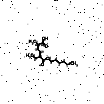 CCCCCCOC(=O)C(=CC=C(C)C(=O)O)CC